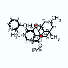 Cc1ncccc1Oc1ncnc(OC2C3(C)CN(C)CC2(C)CN(C(=O)OC(C)C)C3)c1C